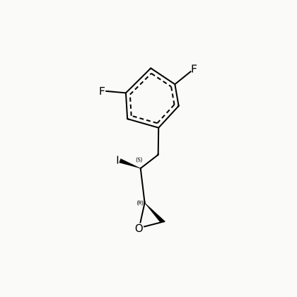 Fc1cc(F)cc(C[C@H](I)[C@H]2CO2)c1